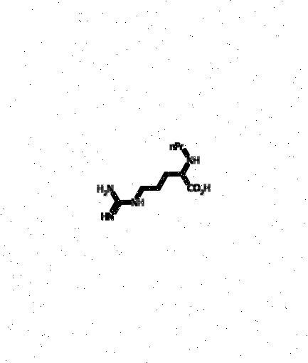 CCCNC(CCCNC(=N)N)C(=O)O